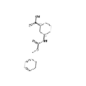 O=C(N[C@@H]1CCC[C@H](C(=O)O)C1)OCc1ccccc1